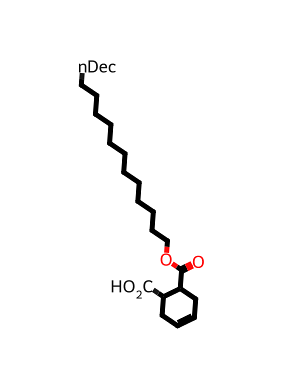 CCCCCCCCCCCCCCCCCCCCCCOC(=O)C1CC=CCC1C(=O)O